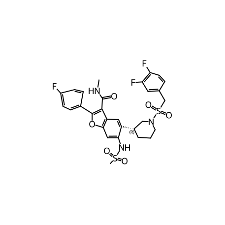 CNC(=O)c1c(-c2ccc(F)cc2)oc2cc(NS(C)(=O)=O)c([C@H]3CCCN(S(=O)(=O)Cc4ccc(F)c(F)c4)C3)cc12